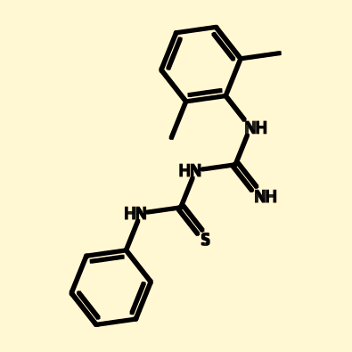 Cc1cccc(C)c1NC(=N)NC(=S)Nc1ccccc1